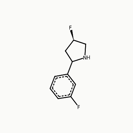 Fc1cccc(C2C[C@@H](F)CN2)c1